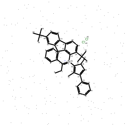 CC/[C](c1ccccc1)=[Zr+2](\[C]1=C(C)C(c2ccccc2)=CC1C)[c]1c(C(C)(C)C)ccc2c1Cc1cc(C(C)(C)C)ccc1-2.[Cl-].[Cl-]